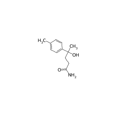 Cc1ccc(C(C)(O)CCC(N)=O)cc1